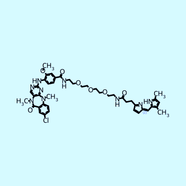 COc1cc(C(=O)NCCOCCOCCOCCNC(=O)CCC2=N/C(=C\c3[nH]c(C)cc3C)C=C2)ccc1Nc1ncc2c(n1)N(C)c1ccc(Cl)cc1C(=O)N2C